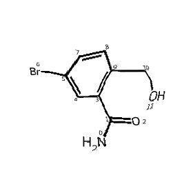 NC(=O)c1cc(Br)ccc1CO